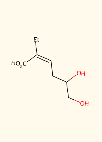 CCC(=CCC(O)CO)C(=O)O